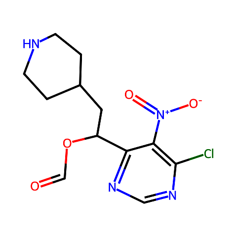 O=COC(CC1CCNCC1)c1ncnc(Cl)c1[N+](=O)[O-]